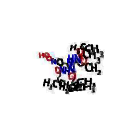 C=CCC(NC(=O)OC(C)(C)C)c1nc(-c2ccc(N=COO)cc2NC(=O)CCC(=C)C)cn1COCC[Si](C)(C)C